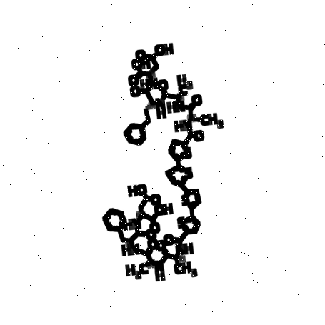 C[C@H](NC(=O)c1ccc(-c2ccc(-c3ccc(-c4ccc(C(=O)N[C@H](C)C(=O)N[C@H](C)C(=O)N[C@H](CCc5ccccc5)C(=O)N[C@H](CC(=O)O)C(=O)O)s4)s3)s2)s1)C(=O)N[C@@H](C)C(=O)N[C@@H](Cc1ccccc1)C(=O)N[C@@H](CC(=O)O)C(=O)O